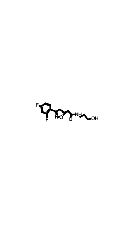 O=C(CC1CC(c2ccc(F)cc2F)=NO1)NCCCO